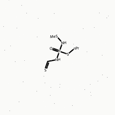 CCCSP(=O)(NC=S)NSC